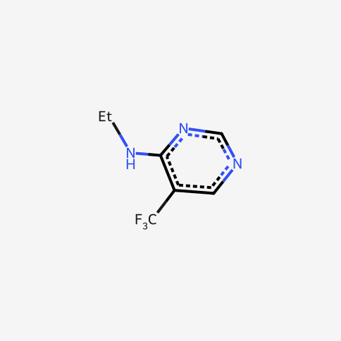 CCNc1ncncc1C(F)(F)F